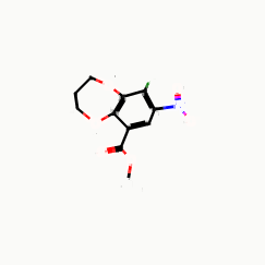 COC(=O)c1cc([N+](=O)[O-])c(Br)c2c1OCCCO2